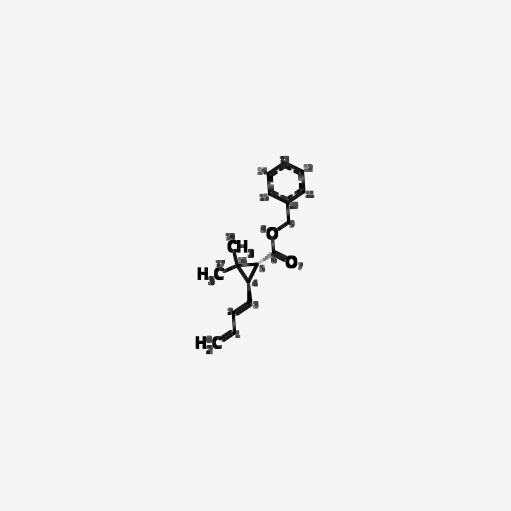 C=C/C=C/[C@@H]1[C@@H](C(=O)OCc2ccccc2)C1(C)C